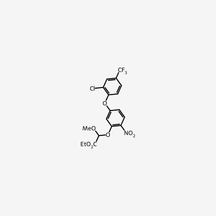 CCOC(=O)C(OC)Oc1cc(Oc2ccc(C(F)(F)F)cc2Cl)ccc1[N+](=O)[O-]